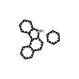 c1ccc2c(c1)ccc1[nH]c3ccccc3c12.c1ccccc1